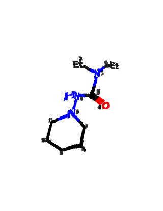 CCN(CC)C(=O)NN1CCCCC1